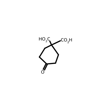 O=C1CCC(C(=O)O)(C(=O)O)CC1